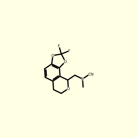 CB(C#N)CC1OCCc2ccc3c(c21)OC(F)(F)O3